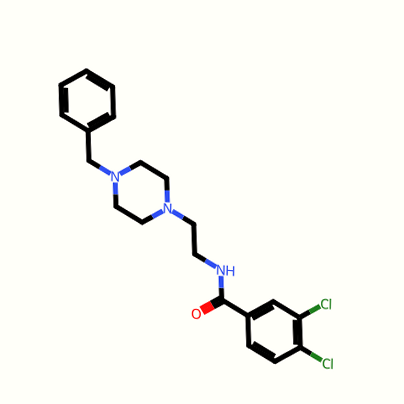 O=C(NCCN1CCN(Cc2ccccc2)CC1)c1ccc(Cl)c(Cl)c1